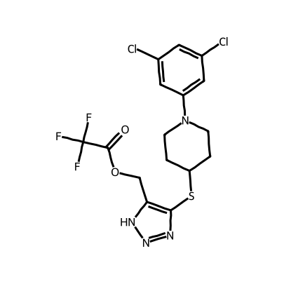 O=C(OCc1[nH]nnc1SC1CCN(c2cc(Cl)cc(Cl)c2)CC1)C(F)(F)F